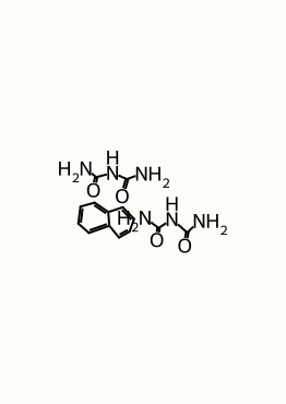 NC(=O)NC(N)=O.NC(=O)NC(N)=O.c1ccc2ccccc2c1